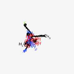 CCCCCCCCCCCCCC[C@@H](OC(=O)CCCCCCCCCCc1ccc(F)cc1)[C@@H](O)[C@H](CO[C@H]1O[C@H](CO)[C@H](O)[C@H](O)[C@H]1O)N(C(=O)OCc1ccc(N)cc1)C(=O)[C@H](CCCNC(N)=O)NC(=O)[C@@H](NC(=O)CCCCCN=[N+]=[N-])C(C)C